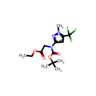 CCOC(=O)CN(C(=O)OC(C)(C)C)c1cc(C(F)(F)F)n(C)n1